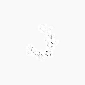 CC(C)(C)C(=O)OCn1cnc(-c2cccc(-c3cc(F)c(CNCC(F)(F)C4CCCCC4)c(F)c3)c2)n1